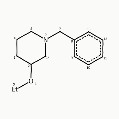 CCOC1CCCN(Cc2ccccc2)C1